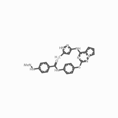 CNNc1ccc(C(=O)Nc2ccc(Sc3nc(Nc4cc(C)[nH]n4)c4cccn4n3)cc2)cc1